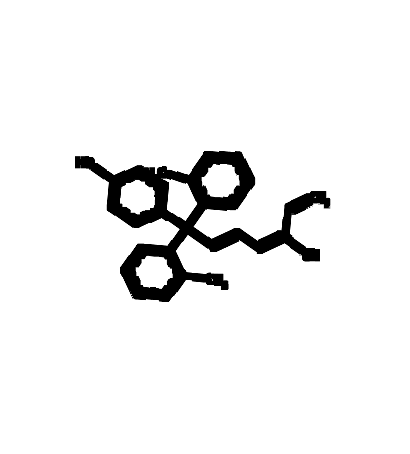 C=C/C(O)=C\C=C\C(c1ccc(O)cc1)(c1ccccc1C)c1ccccc1C